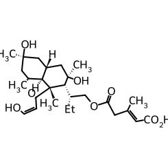 CC[C@@H](COC(=O)C/C(C)=C/C(=O)O)[C@@H]1[C@](C)(C(=O)/C=C\O)[C@@H]2[C@H](C[C@](C)(O)C[C@H]2C)C[C@@]1(C)O